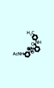 CC(=O)Nc1cccc(S(=O)(=O)Nc2ccccc2C(=O)Nc2ccc(C)cc2)c1